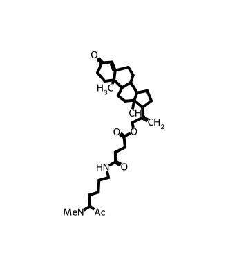 C=C(COC(=O)CCC(=O)NCCCCC(NC)C(C)=O)C1CCC2C3CCC4=CC(=O)CCC4(C)C3CCC12C